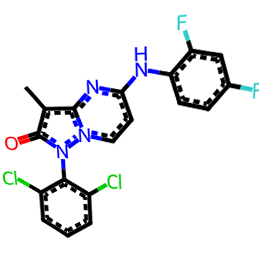 Cc1c(=O)n(-c2c(Cl)cccc2Cl)n2ccc(Nc3ccc(F)cc3F)nc12